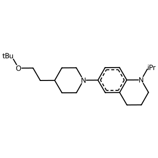 CC(C)N1CCCc2cc(N3CCC(CCOC(C)(C)C)CC3)ccc21